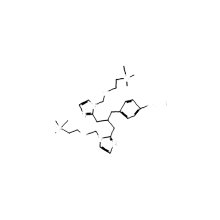 C[Si](C)(C)CCOCn1ccnc1CC(Cc1ccc(C(=O)O)cc1)Cc1nccn1COCC[Si](C)(C)C